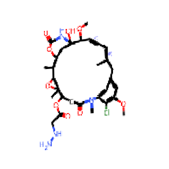 COc1cc2cc(c1Cl)N(C)C(=O)CC(OC(=O)CNN)C1(C)OC1C(C)C1CC(O)(NC(=O)O1)C(OC)/C=C/C=C(\C)C2